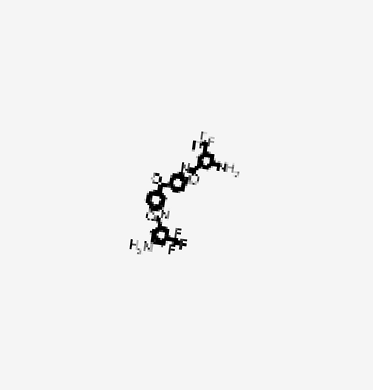 Nc1cc(-c2nc3cc(C(=O)c4ccc5oc(-c6cc(N)cc(C(F)(F)F)c6)nc5c4)ccc3o2)cc(C(F)(F)F)c1